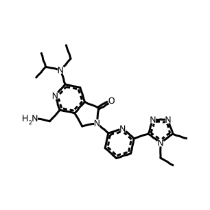 CCN(c1cc2c(c(CN)n1)CN(c1cccc(-c3nnc(C)n3CC)n1)C2=O)C(C)C